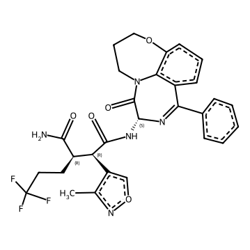 Cc1nocc1[C@H](C(=O)N[C@H]1N=C(c2ccccc2)c2cccc3c2N(CCCO3)C1=O)[C@@H](CCC(F)(F)F)C(N)=O